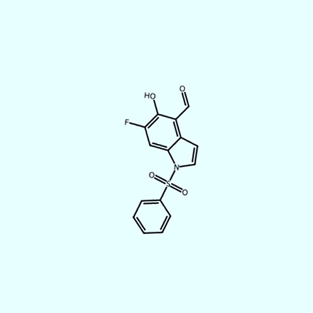 O=Cc1c(O)c(F)cc2c1ccn2S(=O)(=O)c1ccccc1